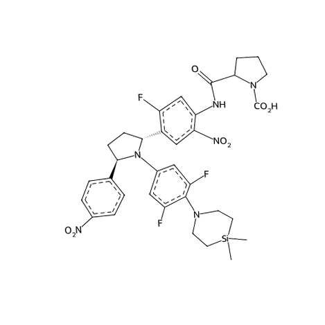 C[Si]1(C)CCN(c2c(F)cc(N3[C@@H](c4ccc([N+](=O)[O-])cc4)CC[C@@H]3c3cc([N+](=O)[O-])c(NC(=O)C4CCCN4C(=O)O)cc3F)cc2F)CC1